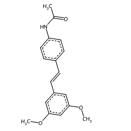 COc1cc(/C=C/c2ccc(NC(C)=O)cc2)cc(OC)c1